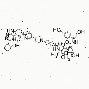 C#Cc1ccc([C@H](CCO)NC(=O)[C@@H]2C[C@@H](O)CN2C(=O)[C@@H](NC(=O)N2CC3(CC(N4CCC(c5cnc(N6CCc7[nH]c8nnc(-c9ccccc9O)cc8c7[C@H]6C)nc5)CC4)C3)C2)C(C)(C)C)cc1